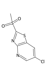 CS(=O)(=O)c1nc2ncc(Cl)cc2s1